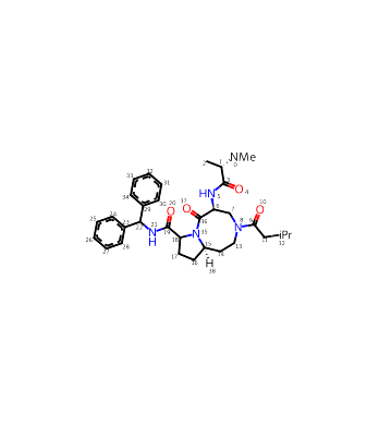 CN[C@@H](C)C(=O)N[C@H]1CN(C(=O)CC(C)C)CC[C@H]2CCC(C(=O)NC(c3ccccc3)c3ccccc3)N2C1=O